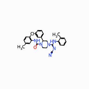 Cc1ccc(C)c(NC(=O)N2CCN(/C(=N\C#N)Nc3ccccc3C)CC2c2ccccc2)c1